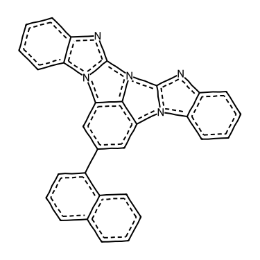 c1ccc2c(-c3cc4c5c(c3)n3c6ccccc6nc3n5c3nc5ccccc5n43)cccc2c1